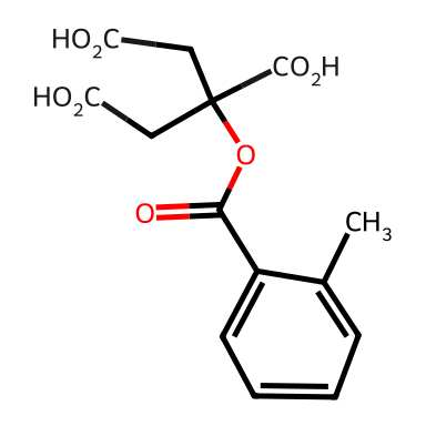 Cc1ccccc1C(=O)OC(CC(=O)O)(CC(=O)O)C(=O)O